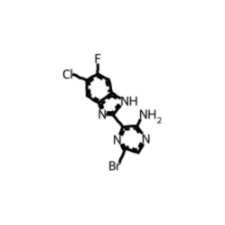 Nc1ncc(Br)nc1-c1nc2cc(Cl)c(F)cc2[nH]1